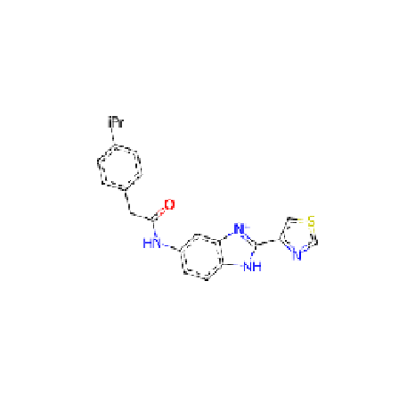 CC(C)c1ccc(CC(=O)Nc2ccc3c(c2)[N+]=C(c2cscn2)N3)cc1